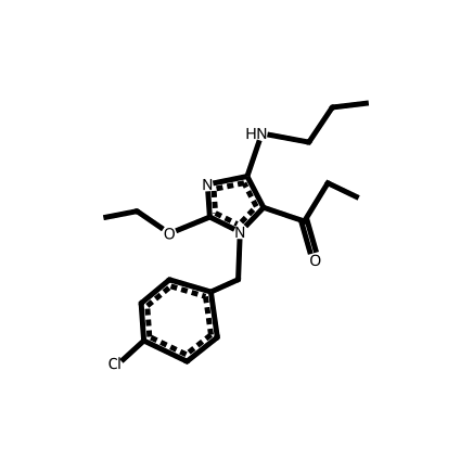 CCCNc1nc(OCC)n(Cc2ccc(Cl)cc2)c1C(=O)CC